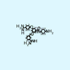 N=C(N)c1ccc(Oc2cc(OCc3cccc(C(=N)N)c3)cc(C(=O)NC3CCC(N)CC3)c2)cc1